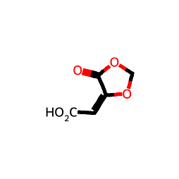 O=C(O)/C=C1/OCOC1=O